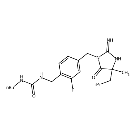 CCCCNC(=O)NCc1ccc(CN2C(=N)NC(C)(CC(C)C)C2=O)cc1F